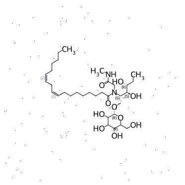 CCCCC/C=C\C/C=C\CCCCCCCC(=O)N(CC(=O)NC)[C@@H](CO[C@@H]1OC(CO)[C@H](O)C(O)C1O)[C@H](O)[C@H](O)CC